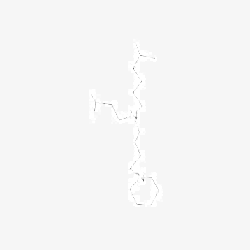 CC(C)CCCCN(CCCCN1CCCCC1)CCC(C)C